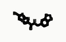 O=C(NCc1ccc2c(c1)OCO2)c1cn2cc(Br)sc2n1